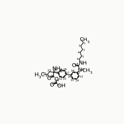 CCCCCCCNC(=O)N(C)c1cccc(-c2ccc(C(N)(CCC)C(=O)OC(=O)O)cc2)c1